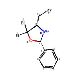 CCC1(CC)O[C@@H](c2ccccc2)N[C@H]1CC(C)C